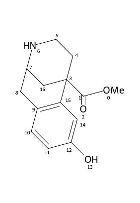 COC(=O)C12CCNC(Cc3ccc(O)cc31)C2